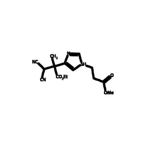 CCOC(=O)C(C)(C1=C[SH](CCC(=O)OC)C=N1)C(C#N)C#N